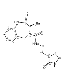 CC[C@H](C)[C@H]1C(=O)Nc2ccccc2CN1C(=O)NCCN1CCNC1=O